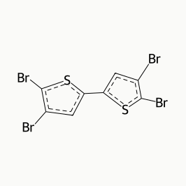 Brc1cc(-c2cc(Br)c(Br)s2)sc1Br